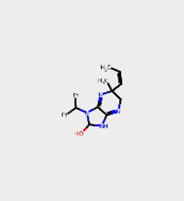 C/C=C\C1(C)CN=C2NC(O)N(C(CC)CC)C2=N1